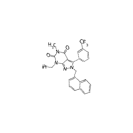 CC(C)Cn1c(=O)n(C)c(=O)c2c(-c3cccc(C(F)(F)F)c3)n(Cc3cccc4ccccc34)nc21